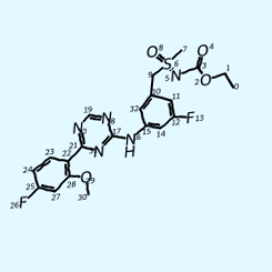 CCOC(=O)N=S(C)(=O)Cc1cc(F)cc(Nc2ncnc(-c3ccc(F)cc3OC)n2)c1